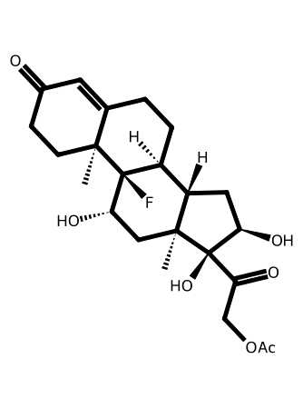 CC(=O)OCC(=O)[C@@]1(O)[C@H](O)C[C@H]2[C@@H]3CCC4=CC(=O)CC[C@]4(C)[C@@]3(F)[C@@H](O)C[C@@]21C